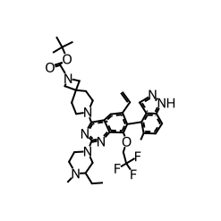 C=Cc1cc2c(N3CCC4(CC3)CN(C(=O)OC(C)(C)C)C4)nc(N3CCN(C)C(CC)C3)nc2c(OCC(F)(F)F)c1-c1c(C)ccc2[nH]ncc12